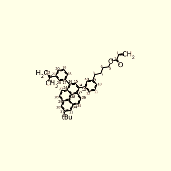 C=CC(=O)OCCCCc1cccc(-c2cc(-c3cccc(C(=C)C)c3)c3ccc4cc(C(C)(C)C)cc5ccc2c3c54)c1